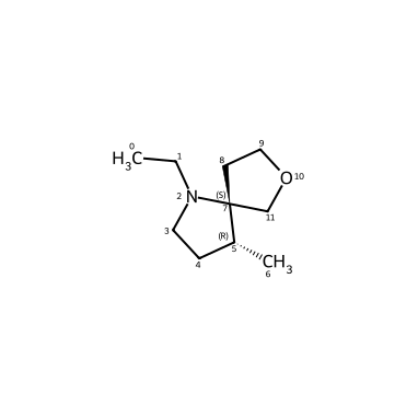 CCN1CC[C@@H](C)[C@]12CCOC2